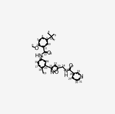 COc1ccc(C(C)(C)C)cc1C(=O)Nc1ccc(C)c(-c2cc(CNC(=O)c3cccnc3)on2)c1